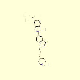 CC(C)(C)c1ccc2[nH]c(-c3ccc4c(c3)c(Cl)cn4CCCC3CCNCC3)nc2c1